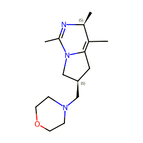 CC1=N[C@@H](C)C(C)=C2C[C@@H](CN3CCOCC3)CN12